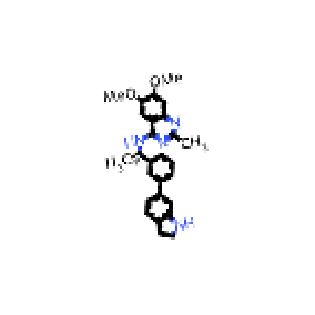 COc1cc2nc(C)nc(N[C@H](C)c3cccc(-c4ccc5cc[nH]c5c4)c3)c2cc1OC